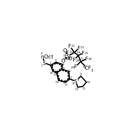 CCCCCCCCSc1ccc2cc([S+]3CCCC3)ccc2c1.O=S(=O)([O-])C(F)(F)C(F)(F)C(F)(F)C(F)(F)F